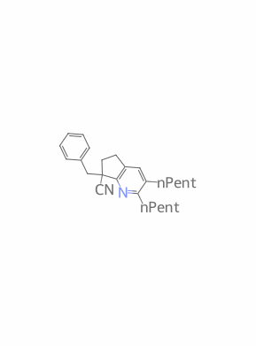 CCCCCc1cc2c(nc1CCCCC)C(C#N)(Cc1ccccc1)CC2